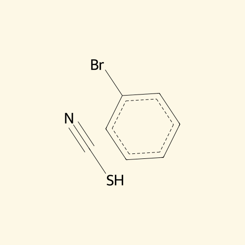 Brc1ccccc1.N#CS